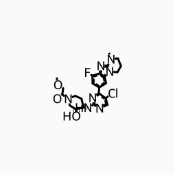 COCC(=O)N1CC[C@@H](Nc2ncc(Cl)c(-c3cc(F)c4nc5n(c4c3)CCCN5C)n2)[C@H](O)C1